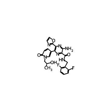 C[C@H](O)Cn1cc(-c2nc(C(=O)NCc3c(F)cccc3F)c(N)nc2-c2ncco2)ccc1=O